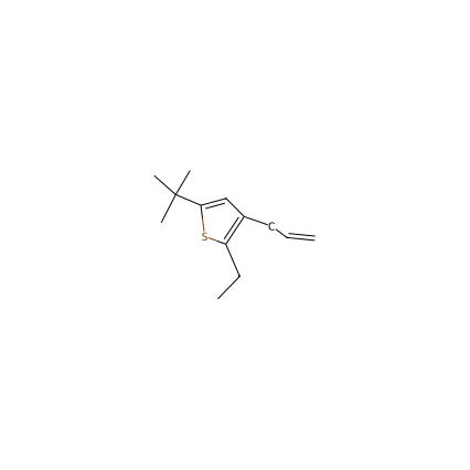 C=CCc1cc(C(C)(C)C)sc1CC